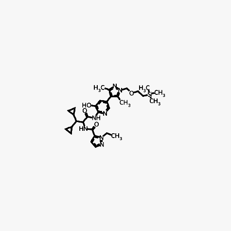 CCn1nccc1C(=O)NC(C(=O)Nc1ncc(-c2c(C)nn(COCC[Si](C)(C)C)c2C)cc1O)C(C1CC1)C1CC1